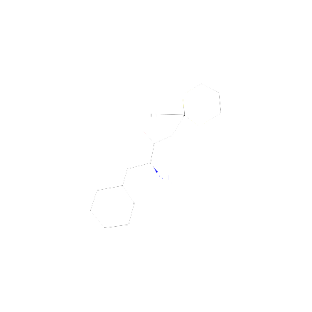 CC(C)C1(CC(O)[C@@H](N)CC2CCCCC2)SCCCS1